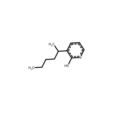 CCCCC(C)c1cccnc1S